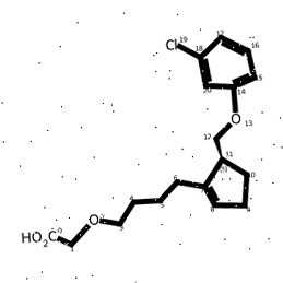 O=C(O)COCCCCC1=CCC[C@@H]1COc1cccc(Cl)c1